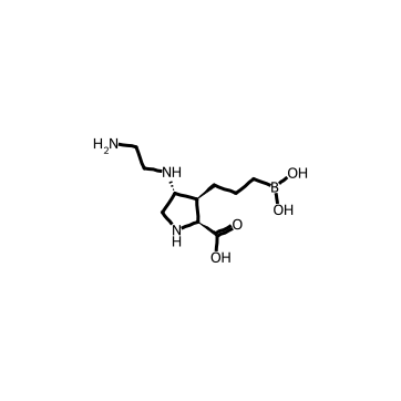 NCCN[C@H]1CN[C@H](C(=O)O)[C@@H]1CCCB(O)O